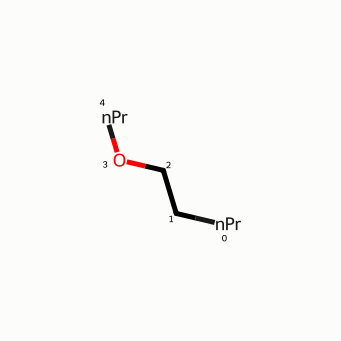 [CH2]CCCCOC[CH]C